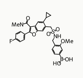 CNC(=O)c1c(-c2ccc(F)cc2)oc2cc(CS(=O)(=O)NCc3ccc(B(O)O)cc3OC)c(C3CC3)cc12